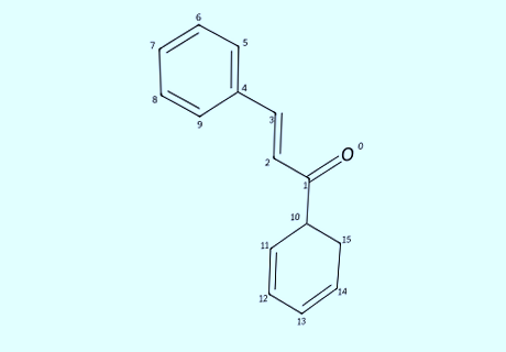 O=C(C=Cc1ccccc1)C1C=CC=CC1